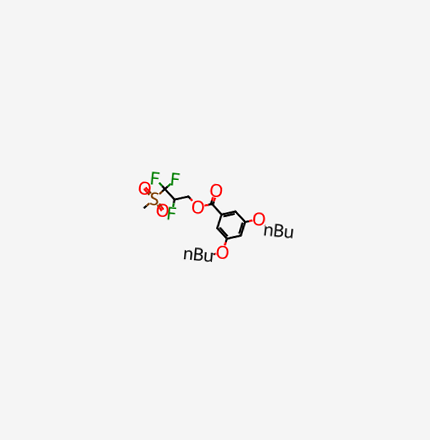 CCCCOc1cc(OCCCC)cc(C(=O)OCC(F)C(F)(F)S(C)(=O)=O)c1